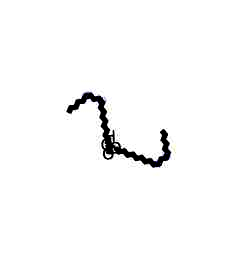 CCCCC/C=C\C/C=C\CCCCCCCCO[PH](=O)OCCCCCCCC/C=C\C/C=C\CCCCC